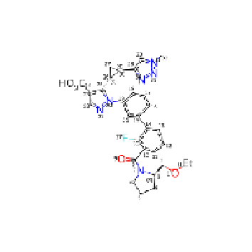 CCOC[C@H]1CCCN1C(=O)c1cccc(-c2cccc(-n3ncc(C(=O)O)c3[C@@H]3C[C@H]3c3cn(C)nn3)c2)c1F